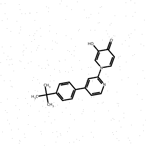 CC(C)(C)c1ccc(-c2ccnc(-n3ccc(=O)c(O)c3)c2)cc1